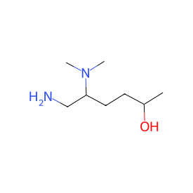 CC(O)CCC(CN)N(C)C